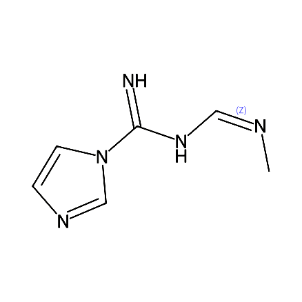 C/N=C\NC(=N)n1ccnc1